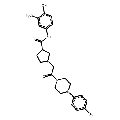 CC(=O)c1ccc(N2CCN(C(=O)CN3CC[C@@H](C(=O)Nc4ccc(O)c(C(F)(F)F)c4)C3)CC2)cc1